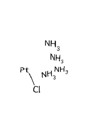 N.N.N.N.[Cl][Pt]